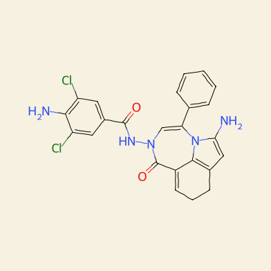 Nc1c(Cl)cc(C(=O)NN2C=C(c3ccccc3)n3c(N)cc4c3C(=CCC4)C2=O)cc1Cl